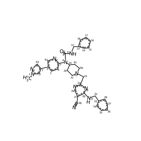 Cn1cc(-c2ccc(N(C(=O)NCc3ccccc3)C3CCN(Cc4ncc(C#N)c(NCc5ccccc5)n4)CC3)nc2)cn1